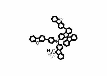 CC1(C)c2ccccc2-c2ccc(N(c3ccc(-c4ccc5c(c4)oc4ccccc45)cc3)c3ccc4c(c3)C3(c5ccccc5-c5ccccc53)c3cccc(-c5ccc6c(c5)oc5ccccc56)c3-4)cc21